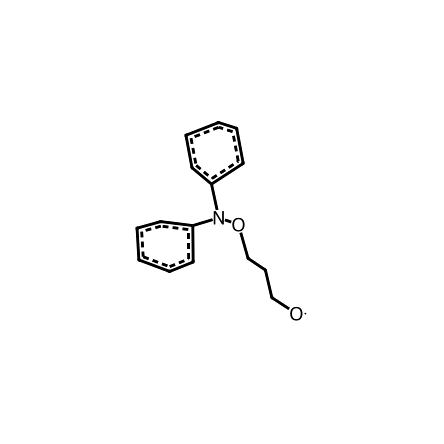 [O]CCCON(c1ccccc1)c1ccccc1